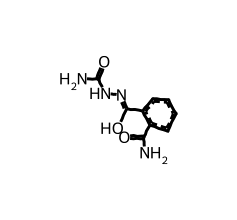 NC(=O)NN=C(O)c1ccccc1C(N)=O